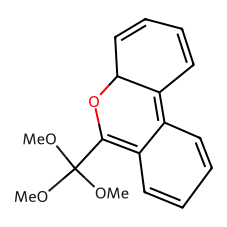 COC(OC)(OC)C1=c2ccccc2=C2C=CC=CC2O1